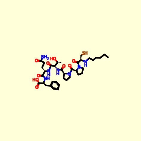 CCCCCCN[C@@H](CS)C(=O)N1CCC[C@H]1C(=O)N1CCC[C@H]1C(=O)N[C@H](C(=O)N[C@@H](CCC(N)=O)C(=O)N[C@@H](Cc1ccccc1)C(=O)O)[C@@H](C)O